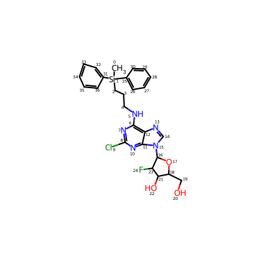 C[Si](CCCNc1nc(Cl)nc2c1ncn2C1OC(CO)C(O)C1F)(c1ccccc1)c1ccccc1